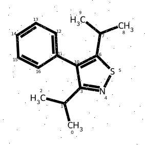 CC(C)c1nsc(C(C)C)c1-c1ccccc1